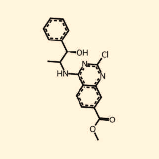 COC(=O)c1ccc2c(NC(C)[C@H](O)c3ccccc3)nc(Cl)nc2c1